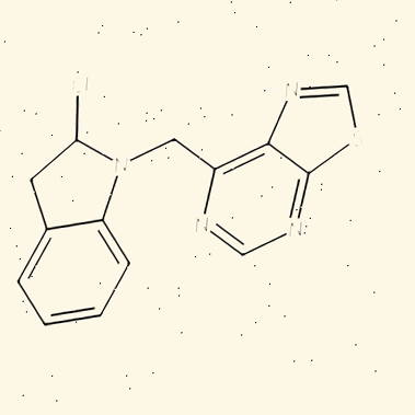 CC1Cc2ccccc2N1Cc1ncnc2scnc12